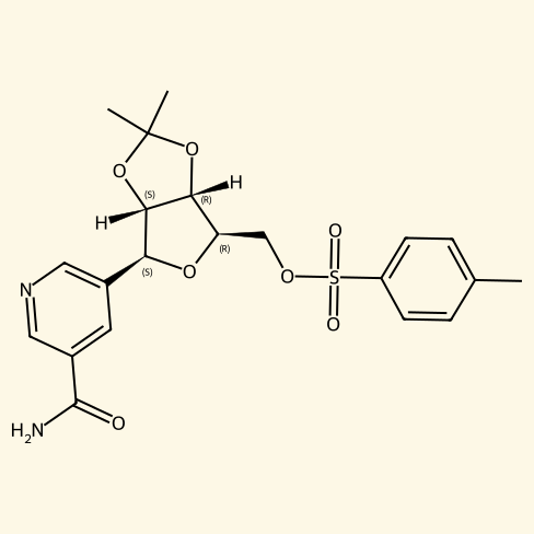 Cc1ccc(S(=O)(=O)OC[C@H]2O[C@@H](c3cncc(C(N)=O)c3)[C@@H]3OC(C)(C)O[C@@H]32)cc1